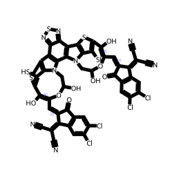 N#CC(C#N)=C1/C(=C/C2=C(\O)c3sc4c5c6nsnc6c6c7sc8c(S)c7n(c6c5n(c4c3S)CC(O)O2)CC(O)OC(/C=C2\C(=O)c3cc(Cl)c(Cl)cc3C2=C(C#N)C#N)=C\8O)C(=O)c2cc(Cl)c(Cl)cc21